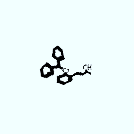 CC(O)/C=C/c1ccccc1OC(c1ccccc1)c1ccccc1